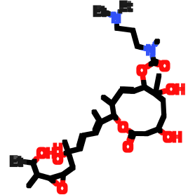 CCC(O)C(C)C1OC1CC(C)(O)/C=C/C=C(\C)C1OC(=O)CC(O)CCC(C)(O)C(OC(=O)N(C)CCCN(CC)CC)/C=C/C1C